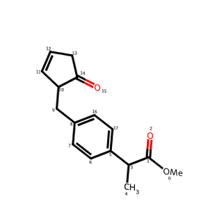 COC(=O)C(C)c1ccc(CC2C=CCC2=O)cc1